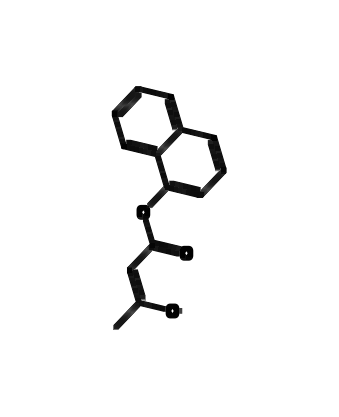 CC([O])=CC(=O)Oc1cccc2ccccc12